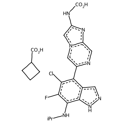 CC(C)Nc1c(F)c(Cl)c(-c2cn3cc(NC(=O)O)nc3cn2)c2cn[nH]c12.O=C(O)C1CCC1